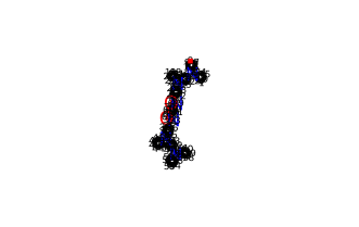 c1ccc(N(c2ccccc2)c2ccc3c(c2)c2ccccc2n3-c2ccc(-c3nc4cc5nc(-c6ccc(-n7c8ccccc8c8cc(N(c9ccccc9)c9ccccc9)ccc87)cc6)oc5cc4o3)cc2)cc1